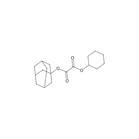 O=C(OC1CCCCC1)C(=O)OC12CC3CC(CC(C3)C1)C2